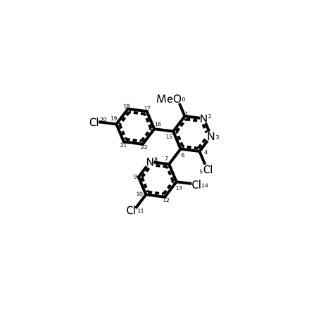 COc1nnc(Cl)c(-c2ncc(Cl)cc2Cl)c1-c1ccc(Cl)cc1